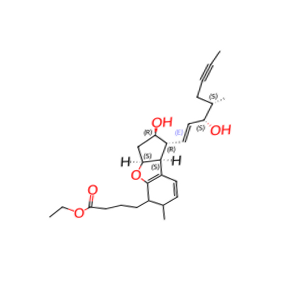 CC#CC[C@H](C)[C@H](O)/C=C/[C@@H]1[C@H]2C3=C(O[C@H]2C[C@H]1O)C(CCCC(=O)OCC)C(C)C=C3